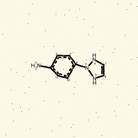 Nc1ccc(N2NC=CN2)cc1